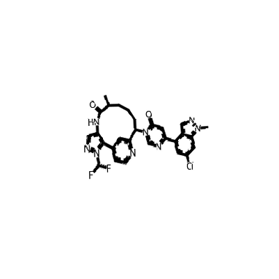 CC1CCCC(n2cnc(-c3cc(Cl)cc4c3cnn4C)cc2=O)c2cc(ccn2)-c2c(cnn2C(F)F)NC1=O